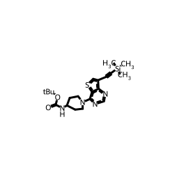 CC(C)(C)OC(=O)NC1CCN(c2ncnc3c(C#C[Si](C)(C)C)csc23)CC1